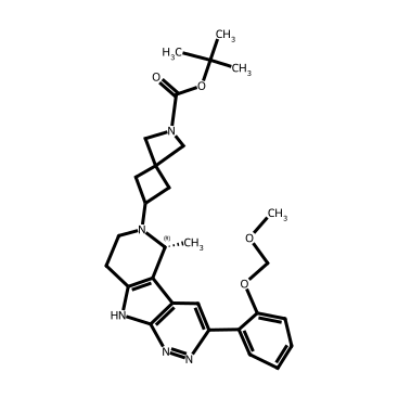 COCOc1ccccc1-c1cc2c3c([nH]c2nn1)CCN(C1CC2(C1)CN(C(=O)OC(C)(C)C)C2)[C@@H]3C